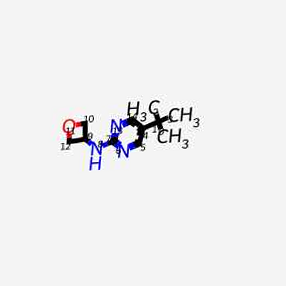 CC(C)(C)c1cnc(NC2COC2)nc1